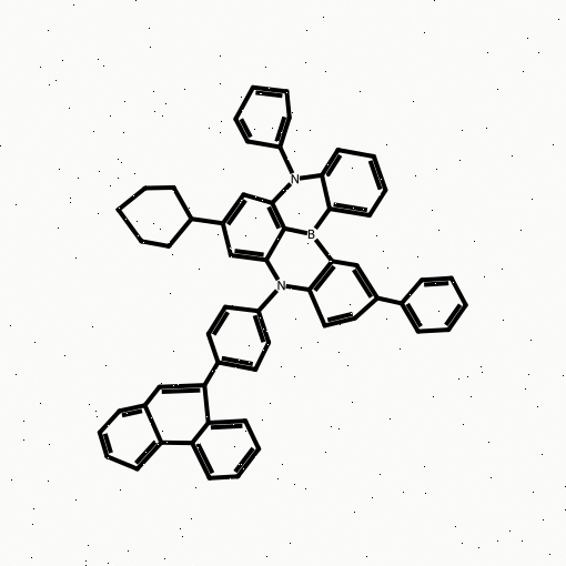 c1ccc(-c2ccc3c(c2)B2c4ccccc4N(c4ccccc4)c4cc(C5CCCCC5)cc(c42)N3c2ccc(-c3cc4ccccc4c4ccccc34)cc2)cc1